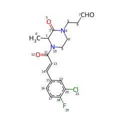 CC1C(=O)N(CCC=O)CCN1C(=O)C=Cc1ccc(F)c(Cl)c1